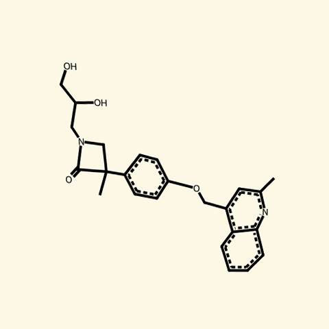 Cc1cc(COc2ccc(C3(C)CN(CC(O)CO)C3=O)cc2)c2ccccc2n1